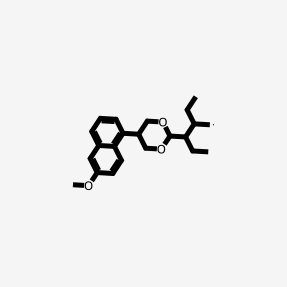 [CH2]C(CC)C(CC)C1OCC(c2cccc3cc(OC)ccc23)CO1